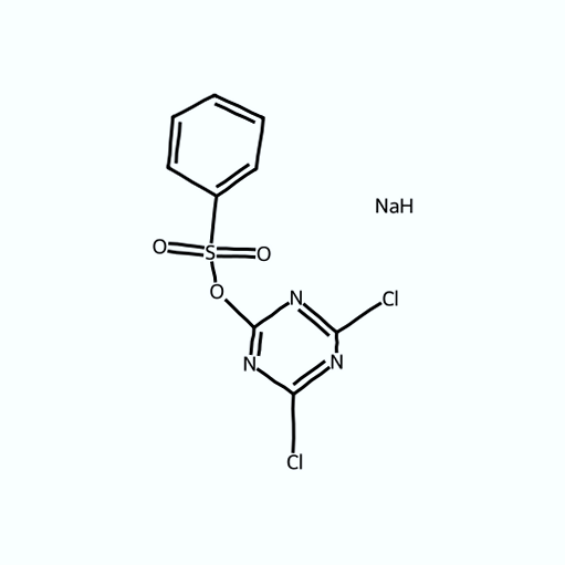 O=S(=O)(Oc1nc(Cl)nc(Cl)n1)c1ccccc1.[NaH]